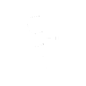 C=CCOC(=O)C(O)C1CCC=CCCC1